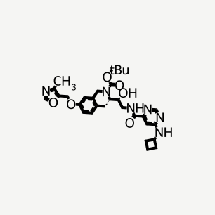 Cc1ncoc1COc1ccc2c(c1)CN(C(=O)OC(C)(C)C)[C@H]([C@H](O)CNC(=O)c1cc(NC3CCC3)ncn1)C2